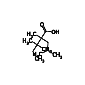 CCC(C)(C)C(C)(CC(C)C)C(=O)O